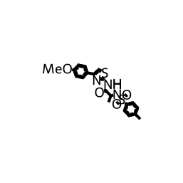 COc1ccc(-c2csc(NC(=O)C(C)NS(=O)(=O)c3ccc(C)cc3)n2)cc1